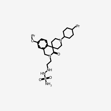 CC(C)Oc1ccc2c(c1)CN(CCNNS(N)(=O)=O)C(=O)C21CCN(C2CCC(C(C)C)CC2)CC1